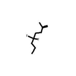 C=C(C)CCC(F)(F)CCC